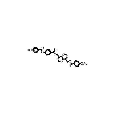 CC(=O)Oc1ccc(C(=O)OCC2OCOC3C(COC(=O)c4ccc(OC(=O)c5ccc(O)cc5)cc4)OCOC23)cc1